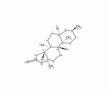 C[C@H]1CC[C@]2(C)[C@@H](CC[C@@H]3[C@H]4CC(=O)C[C@]4(C)CC[C@H]32)C1